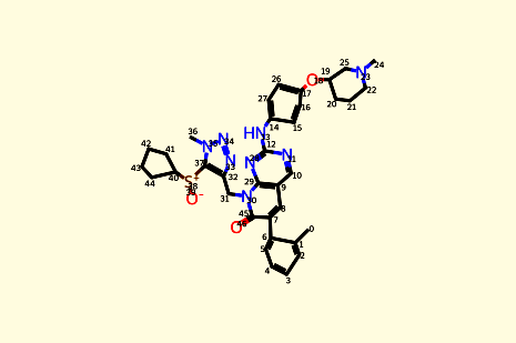 Cc1ccccc1-c1cc2cnc(Nc3ccc(OC4CCCN(C)C4)cc3)nc2n(Cc2nnn(C)c2[S+]([O-])C2CCCC2)c1=O